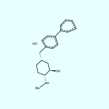 CC(C)(C)N[C@@H]1CC[C@H](Cc2ccc(-c3ccccc3)cc2)C[C@H]1O.Cl